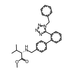 COC(=O)[C@@H](NCc1ccc(-c2ccccc2-c2nnnn2Cc2ccccc2)cc1)C(C)C